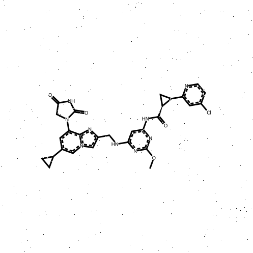 COc1nc(NCc2cn3cc(C4CC4)cc(N4CC(=O)NC4=O)c3n2)cc(NC(=O)[C@H]2CC2c2cc(Cl)ccn2)n1